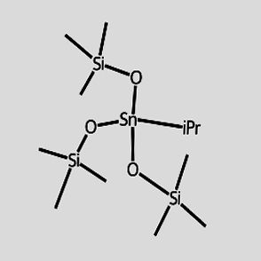 C[CH](C)[Sn]([O][Si](C)(C)C)([O][Si](C)(C)C)[O][Si](C)(C)C